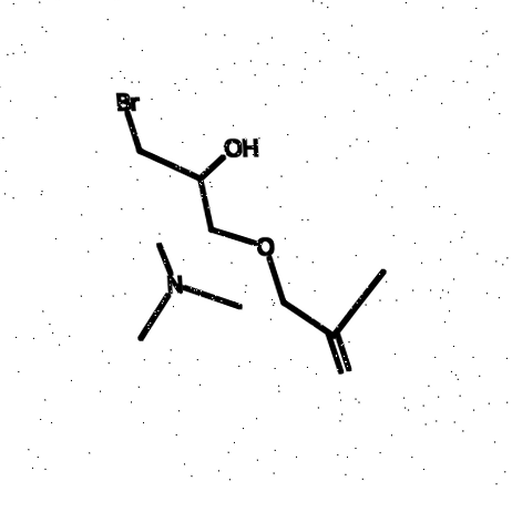 C=C(C)COCC(O)CBr.CN(C)C